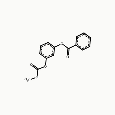 COC(=O)Oc1cccc(OC(=O)c2ccccc2)c1